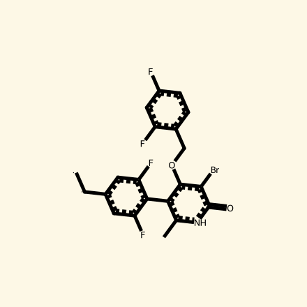 [CH2][CH]c1cc(F)c(-c2c(C)[nH]c(=O)c(Br)c2OCc2ccc(F)cc2F)c(F)c1